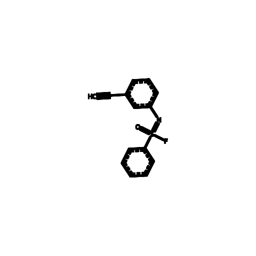 C#Cc1cccc(N=S(=O)(F)c2ccccc2)c1